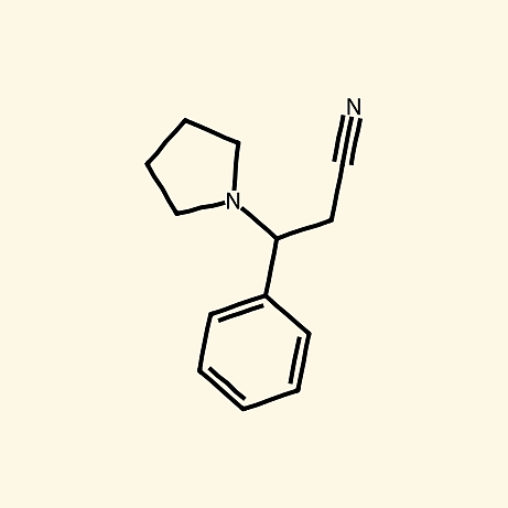 N#CCC(c1ccccc1)N1CCCC1